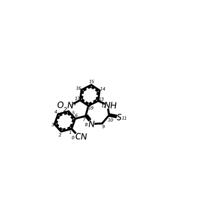 N#Cc1ccccc1C1=NCC(=S)Nc2cccc([N+](=O)[O-])c21